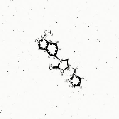 Cn1ncc2cc(N3C[C@H](Cn4ccnn4)OC3=O)ccc21